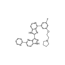 Fc1cc(OCCN2CCCC2)cc(-c2nccc3[nH]c(-c4n[nH]c5ccc(-c6ccccn6)nc45)nc23)c1